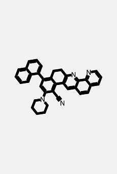 N#Cc1c(N2CCCCC2)cc(-c2cccc3ccccc23)c2c1-c1cc3ccc4cccnc4c3nc1CC2